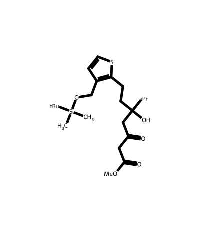 COC(=O)CC(=O)CC(O)(CCc1sccc1CO[Si](C)(C)C(C)(C)C)C(C)C